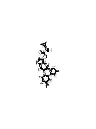 O=C(NC1CC1)Oc1cnn2ccc(N3CCC[C@@H]3c3cccc(F)c3)nc12